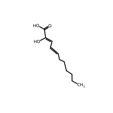 CCCCCCC=CC=C(O)C(=O)O